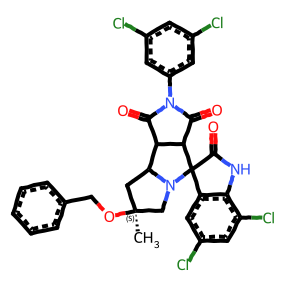 C[C@]1(OCc2ccccc2)CC2C3C(=O)N(c4cc(Cl)cc(Cl)c4)C(=O)C3C3(C(=O)Nc4c(Cl)cc(Cl)cc43)N2C1